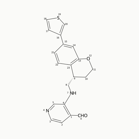 O=Cc1ccncc1NC[C@H]1CCOc2cc(-c3ccsc3)ccc21